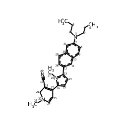 CCCN(CCC)c1ccc2cc(-c3ccc(C4=C(C#N)CN(C)C=C4)n3C)ccc2c1